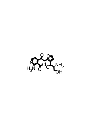 Nc1nccc(C(=O)Cc2occc2C(=O)[C@@H](N)CO)c1C(=O)Cl